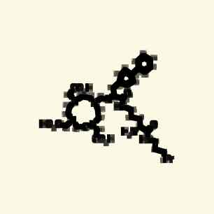 CC(C)CCCNC(=O)[C@H](N)CCCNC(=O)/C(Cc1ccc(-c2ccccc2)cc1)=N/CN1CCN(CC(=O)O)CCN(CC(=O)O)CCN(CC(=O)O)CC1